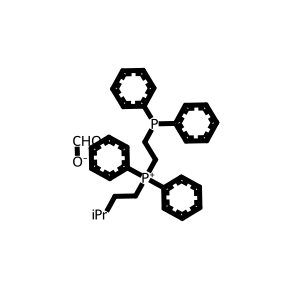 CC(C)CC[P+](CCP(c1ccccc1)c1ccccc1)(c1ccccc1)c1ccccc1.O=C[O-]